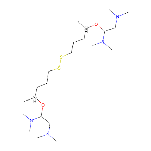 CN(C)CC(O[SiH](C)CCCSSCCC[SiH](C)OC(CN(C)C)N(C)C)N(C)C